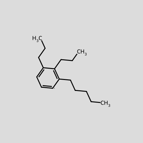 CCCCCc1[c]ccc(CCC)c1CCC